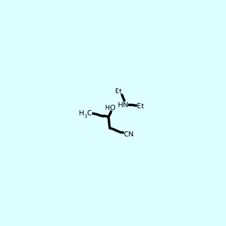 CC(O)CC#N.CCNCC